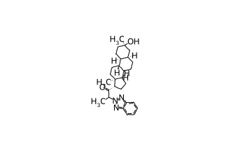 CC(C(=O)[C@H]1CC[C@H]2[C@@H]3CC[C@@H]4C[C@](C)(O)CC[C@@H]4[C@H]3CC[C@]12C)n1nc2ccccc2n1